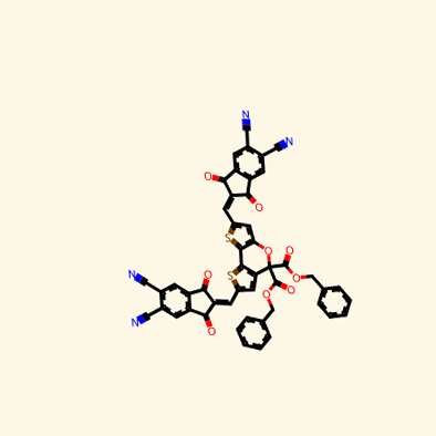 N#Cc1cc2c(cc1C#N)C(=O)C(=Cc1cc3c(s1)-c1sc(C=C4C(=O)c5cc(C#N)c(C#N)cc5C4=O)cc1C(C(=O)OCc1ccccc1)(C(=O)OCc1ccccc1)O3)C2=O